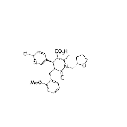 COc1ccccc1CC1C(=O)N(C[C@@H]2CCCO2)C(C)=C(C(=O)O)[C@@H]1c1ccc(Cl)nc1